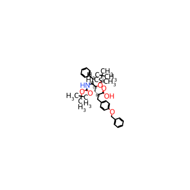 CC(C)(C)OC(=O)N[C@@H](Cc1ccccc1)[C@H](C[C@@H](Cc1ccc(OCc2ccccc2)cc1)C(=O)O)O[Si](C)(C)C(C)(C)C